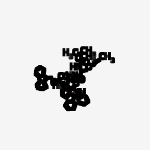 CCCCOCC(NC(=O)OC(C)(C)C)C(=O)NNC(=O)C(CC(=O)NC(c1ccccc1)(c1ccccc1)c1ccccc1)NC(=O)OCC1c2ccccc2-c2ccccc21